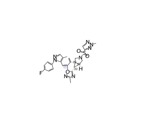 C=C(/C(C)=C\c1c(C)cnn1-c1ccc(F)cc1)[C@]12CN(S(=O)(=O)c3cnn(C)n3)C[C@H]1[C@@H]2c1nc(C)no1